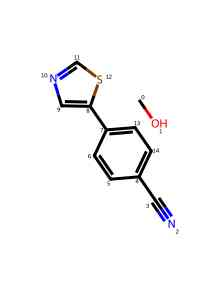 CO.N#Cc1ccc(-c2cn[c]s2)cc1